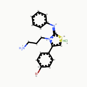 Cl.NCCCn1c(-c2ccc(Br)cc2)cs/c1=N/c1ccccc1